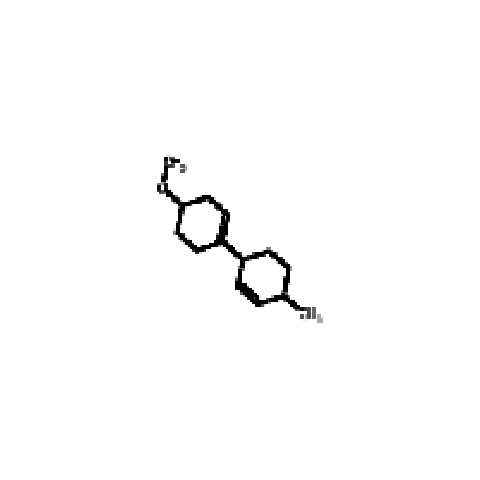 COC1CC=C(C2C=CC(C)CC2)CC1